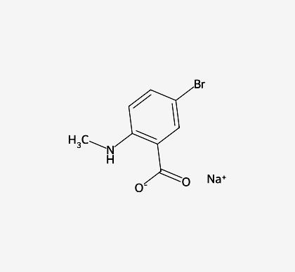 CNc1ccc(Br)cc1C(=O)[O-].[Na+]